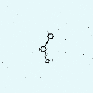 Fc1cccc(C#Cc2cncc(OCC3CCN3)c2)c1